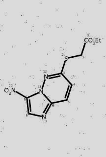 CCOC(=O)CSc1ccc2ncc([N+](=O)[O-])n2n1